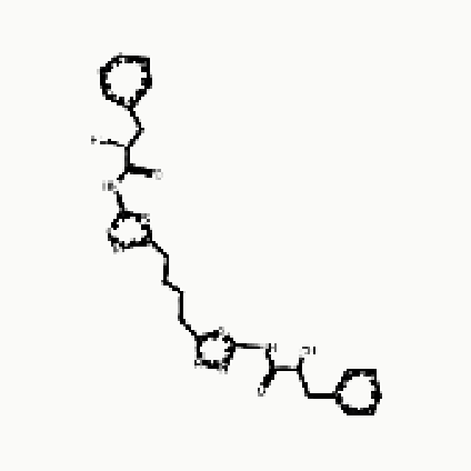 O=C(Nc1nnc(CCCCc2nnc(NC(=O)[C@@H](O)Cc3ccccc3)s2)s1)C(O)Cc1ccccc1